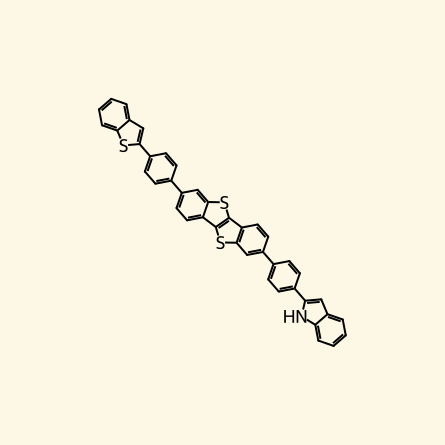 c1ccc2[nH]c(-c3ccc(-c4ccc5c(c4)sc4c6ccc(-c7ccc(-c8cc9ccccc9s8)cc7)cc6sc54)cc3)cc2c1